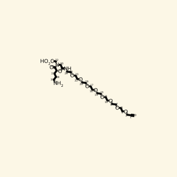 C#CCOCCOCCOCCOCCOCCOCCOCCOCCNC(=O)CN(CC(=O)O)C(=O)CCCCN